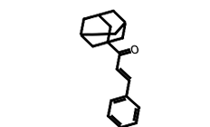 O=C(C=Cc1ccccc1)C12CC3CC(CC(C3)C1)C2